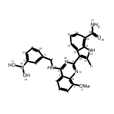 COc1cccc2c(NCc3cccc(B(O)O)c3)nc(-c3c(C)[nH]c4c(C(N)=O)cccc34)nc12